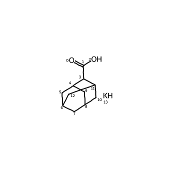 O=C(O)C1C2CC3CC(C2)CC1C3.[KH]